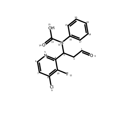 O=CCC(c1nccc(Cl)c1F)N(C(=O)O)c1ccccc1